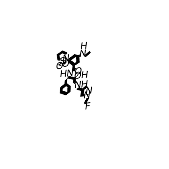 CCNc1cc(C(=O)N[C@@H](Cc2ccccc2)[C@H](O)CNCc2cnn(CCF)c2)cc(N2CCCCS2(=O)=O)c1